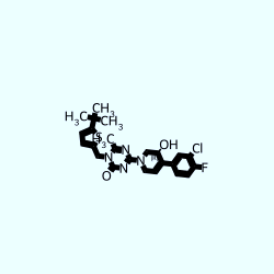 Cc1nc(N2CC=C(c3ccc(F)c(Cl)c3)[C@@H](O)C2)nc(=O)n1Cc1ccc(C(C)(C)C)s1